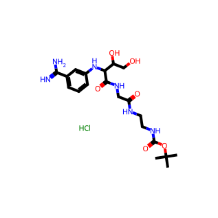 CC(C)(C)OC(=O)NCCNC(=O)CNC(=O)C(Nc1cccc(C(=N)N)c1)C(O)CO.Cl